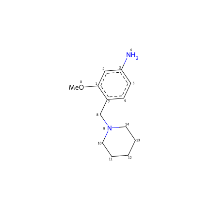 COc1cc(N)ccc1CN1CCCCC1